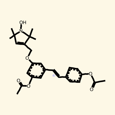 CC(=O)Oc1ccc(/C=C/c2cc(OCC3=CC(C)(C)N(O)C3(C)C)cc(OC(C)=O)c2)cc1